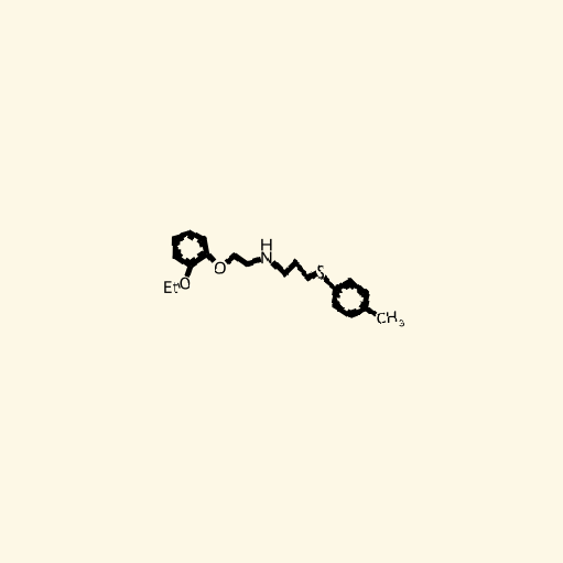 CCOc1ccccc1OCCNCCCSc1ccc(C)cc1